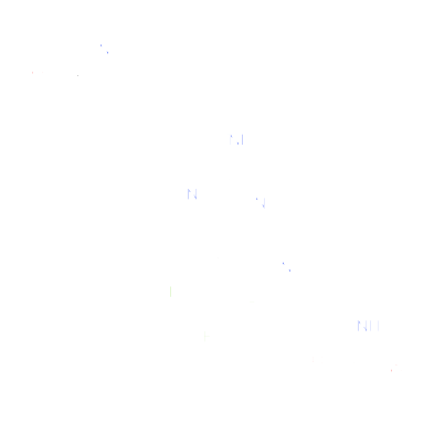 CS(=O)(=O)NC1CN(c2nc(Nc3ccc4c(c3)CC(=O)N4)ncc2C(F)(F)F)C1